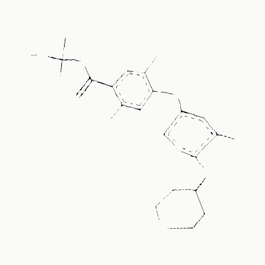 CC(C)(C)OC(=O)c1cc(F)c(Oc2cnc(OC3CCOCC3)c(I)c2)cc1F